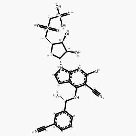 C[C@H](Nc1c(C#N)c(Cl)nc2c1ccn2[C@@H]1O[C@H](CS(=O)(=O)CP(=O)(O)O)[C@@H](O)[C@H]1O)c1cccc(C#N)c1